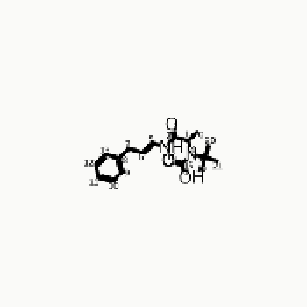 CC(C(=O)N/C=C/Cc1ccccc1)N(C(=O)O)C(C)(C)C